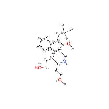 COCCC1N=Cc2c(OC)c(CC(C)(C)C)c3ccccc3c2C1CCO